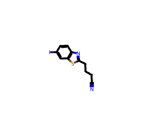 N#CCCCc1nc2ccc(I)cc2s1